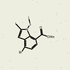 COC(=O)c1ccc(Br)c2cc(I)n(SI)c12